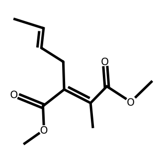 CC=CCC(C(=O)OC)=C(C)C(=O)OC